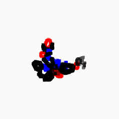 N=S(=O)(NC1CN(C(=O)CN2CCOCC2)CC(N2c3ccccc3CCc3ccccc32)C1O)c1ccc(OC(F)(F)F)cc1